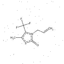 C=CCn1c(C(F)(F)F)c(C)sc1=O